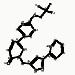 CC(F)(F)COc1ncc(-c2ccc(=O)n(Cc3cc(-c4ccccn4)no3)n2)cn1